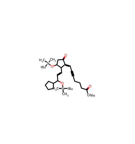 COC(=O)CCCC#CC=C1C(=O)CC(O[Si](C)(C)C(C)(C)C)C1C=CC(O[Si](C)(C)C(C)(C)C)C1CCCC1